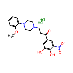 COc1ccccc1N1CCN(CCC(=O)c2cc(O)c(O)c([N+](=O)[O-])c2)CC1.Cl.Cl